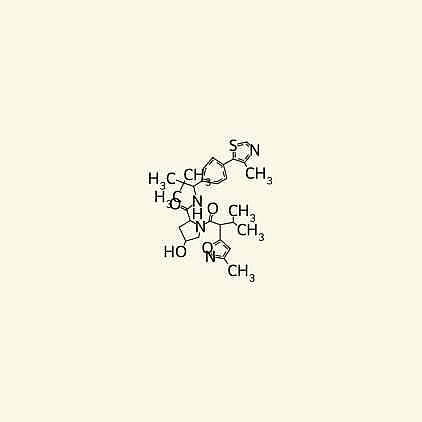 Cc1cc(C(C(=O)N2CC(O)CC2C(=O)NC(c2ccc(-c3scnc3C)cc2)C(C)(C)C)C(C)C)on1